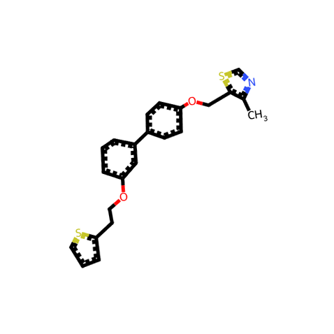 Cc1ncsc1COc1ccc(-c2[c]ccc(OCCc3cccs3)c2)cc1